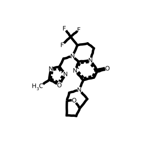 Cc1nc(CN2c3nc(N4CC5CCC(C4)O5)cc(=O)n3CCC2C(F)(F)F)no1